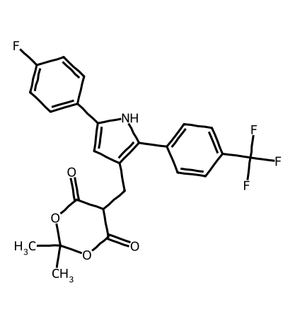 CC1(C)OC(=O)C(Cc2cc(-c3ccc(F)cc3)[nH]c2-c2ccc(C(F)(F)F)cc2)C(=O)O1